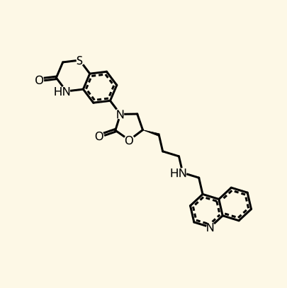 O=C1CSc2ccc(N3C[C@@H](CCCNCc4ccnc5ccccc45)OC3=O)cc2N1